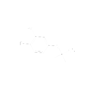 CC(C)(C#N)Sc1ccc(F)c(Br)c1